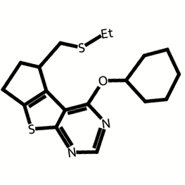 CCSCC1CCc2sc3ncnc(OC4CCCCC4)c3c21